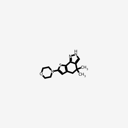 CC1(C)Cc2cc(N3CCOCC3)sc2-c2n[nH]cc21